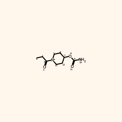 CCC(=O)N1CCC(OC(N)=O)CC1